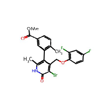 COC(=O)c1ccc(C)c(-c2c(C)[nH]c(=O)c(Br)c2COc2ccc(F)cc2F)c1